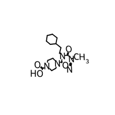 CN(C#N)C(=O)N(CCC1CCCCC1)C(=O)N1CCN(C(=O)O)CC1